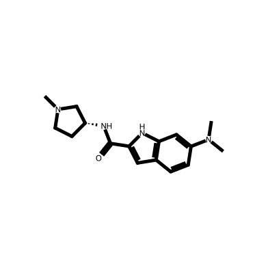 CN1CC[C@@H](NC(=O)c2cc3ccc(N(C)C)cc3[nH]2)C1